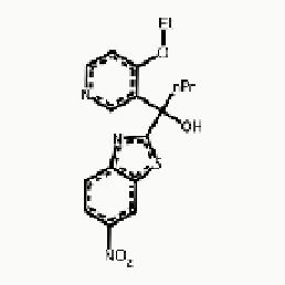 CCCC(O)(c1nc2ccc([N+](=O)[O-])cc2s1)c1cnccc1OCC